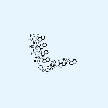 O=C(/C=C\C(=O)OC1CCCCC1)OC1CCCCC1.O=C(O)c1ccc2ccccc2c1C(=O)O.O=C(O)c1ccc2ccccc2c1C(=O)O.O=C(O)c1ccc2ccccc2c1C(=O)O.O=C(O)c1ccc2ccccc2c1C(=O)O.O=C(O)c1ccc2ccccc2c1C(=O)O.O=C(O)c1ccc2ccccc2c1C(=O)O